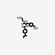 C/C=C(\C)c1ccc(C(=O)N/C(=C\c2ccc(CO)cc2)C(=O)NCCO)cc1